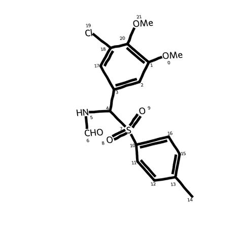 COc1cc(C(NC=O)S(=O)(=O)c2ccc(C)cc2)cc(Cl)c1OC